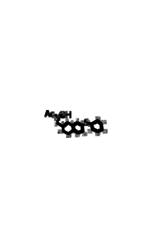 CC(=O)N(O)CC1=Cc2cc(Sc3ccccc3)ccc2CC1